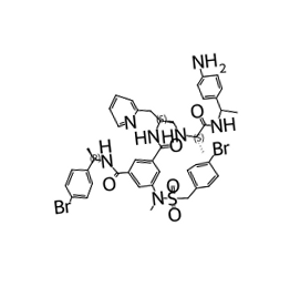 CC(NC(=O)[C@H](C)NC[C@H](Cc1ccccn1)NC(=O)c1cc(C(=O)N[C@H](C)c2ccc(Br)cc2)cc(N(C)S(=O)(=O)Cc2ccc(Br)cc2)c1)c1ccc(N)cc1